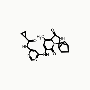 Cc1cc(Nc2cc(NC(=O)C3CC3)ncn2)c(=O)n2c1C(=O)NC21CC2CCC1C2